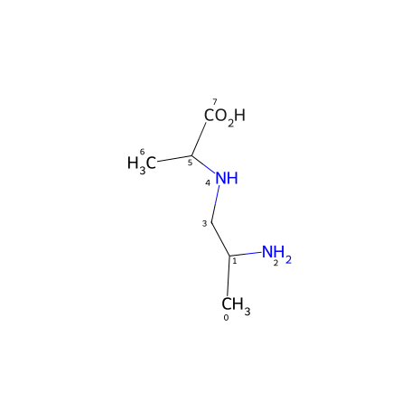 CC(N)CNC(C)C(=O)O